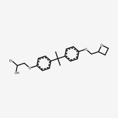 CCC(O)COc1ccc(C(C)(C)c2ccc(OCC3CCO3)cc2)cc1